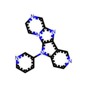 c1cncc(-n2c3ccncc3c3nc4cnccn4c32)c1